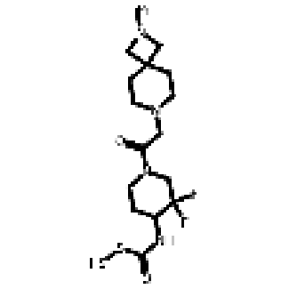 CC(C)N1CC2(CCN(CC(=O)N3CCC(NC(=O)SS)C(F)(F)C3)CC2)C1